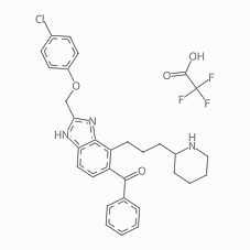 O=C(O)C(F)(F)F.O=C(c1ccccc1)c1ccc2[nH]c(COc3ccc(Cl)cc3)nc2c1CCCC1CCCCN1